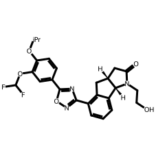 CC(C)Oc1ccc(-c2nc(-c3cccc4c3C[C@@H]3CC(=O)N(CCO)[C@H]43)no2)cc1OC(F)F